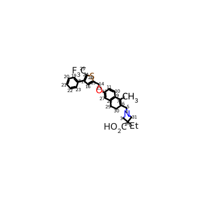 CCC1(C(=O)O)CN(CC2=C(C)c3ccc(OCc4cc(-c5ccccc5)c(C(F)(F)F)s4)cc3CC2)C1